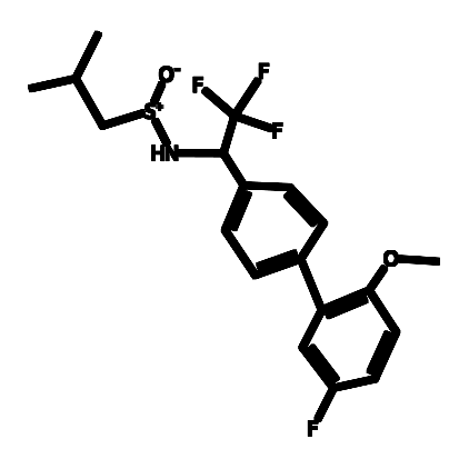 COc1ccc(F)cc1-c1ccc(C(N[S+]([O-])CC(C)C)C(F)(F)F)cc1